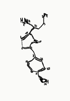 CC(C)CC(N)c1ccc(-c2ccc(O)cc2)s1